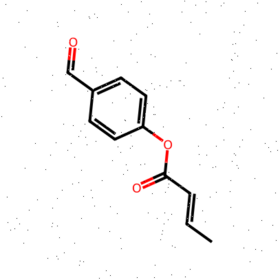 CC=CC(=O)Oc1ccc(C=O)cc1